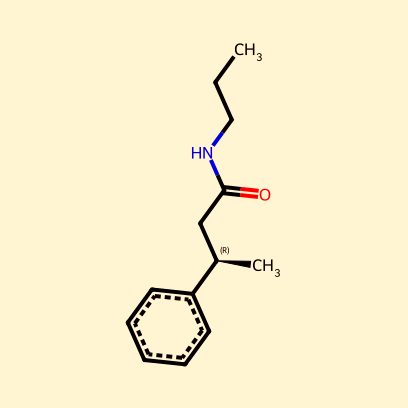 CCCNC(=O)C[C@@H](C)c1ccccc1